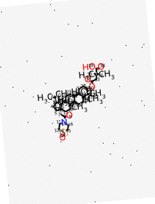 C=C(C)[C@@H]1CC[C@]2(CC(=O)N3CC[S+]([O-])CC3)CC[C@]3(C)[C@H](CC[C@@H]4[C@@]5(C)CC[C@H](OC(=O)CC(C)(C)C(=O)O)C(C)(C)[C@@H]5CC[C@]43C)[C@@H]12